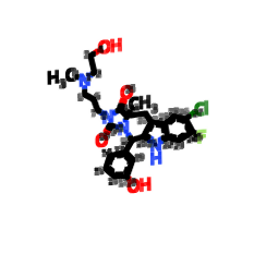 CN(CCO)CCCN1C(=O)N2C(c3cccc(O)c3)c3[nH]c4cc(F)c(Cl)cc4c3CC2(C)C1=O